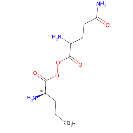 NC(=O)CCC(N)C(=O)OOC(=O)[C@H](N)CCC(=O)O